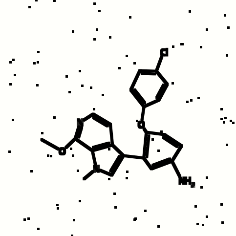 COc1nccc2c(-c3cc(N)ccc3Oc3ccc(Cl)cc3)cn(C)c12